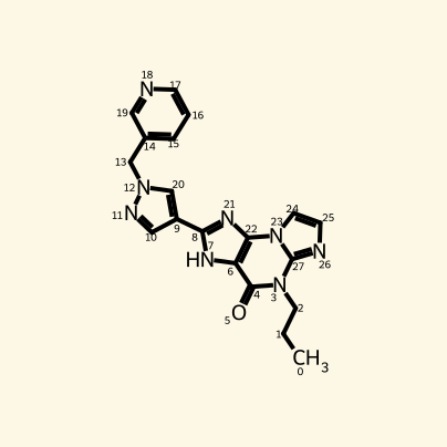 CCCn1c(=O)c2[nH]c(-c3cnn(Cc4cccnc4)c3)nc2n2ccnc12